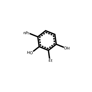 CCCc1ccc(O)c(CC)c1O